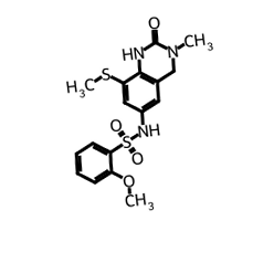 COc1ccccc1S(=O)(=O)Nc1cc2c(c(SC)c1)NC(=O)N(C)C2